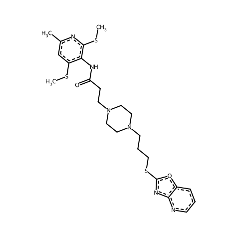 CSc1cc(C)nc(SC)c1NC(=O)CCN1CCN(CCCSc2nc3ncccc3o2)CC1